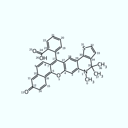 CN1c2cc3oc4c(ccc5cc(=O)ccc54)c(-c4ccccc4C(=O)O)c3cc2-c2sccc2C1(C)C